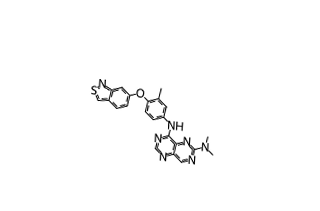 Cc1cc(Nc2ncnc3cnc(N(C)C)nc23)ccc1Oc1ccc2csnc2c1